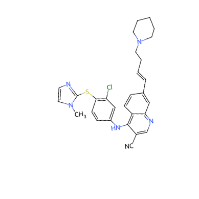 Cn1ccnc1Sc1ccc(Nc2c(C#N)cnc3cc(/C=C/CCN4CCCCC4)ccc23)cc1Cl